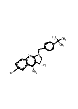 CC(C)(C)c1ccc(CN2CCc3c2nc2ccc(Br)cc2c3N)cc1.Cl